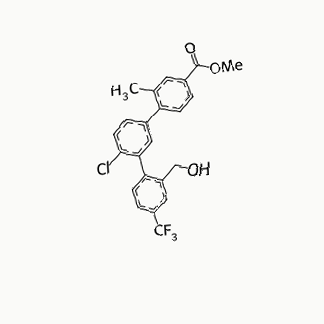 COC(=O)c1ccc(-c2ccc(Cl)c(-c3ccc(C(F)(F)F)cc3CO)c2)c(C)c1